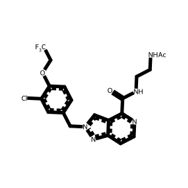 CC(=O)NCCNC(=O)c1nccc2nn(Cc3ccc(OCC(F)(F)F)c(Cl)c3)cc12